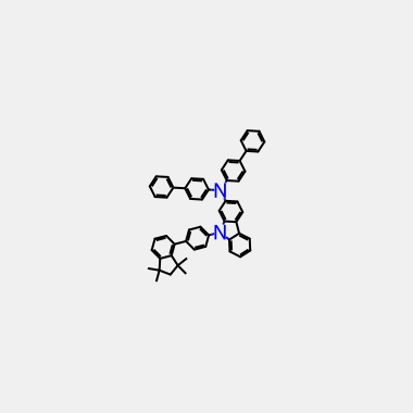 CC1(C)CC(C)(C)c2c(-c3ccc(-n4c5ccccc5c5ccc(N(c6ccc(-c7ccccc7)cc6)c6ccc(-c7ccccc7)cc6)cc54)cc3)cccc21